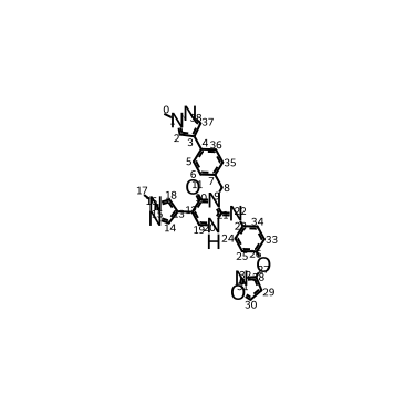 Cn1cc(-c2ccc(Cn3c(=O)c(-c4cnn(C)c4)c[nH]/c3=N\c3ccc(Oc4ccon4)cc3)cc2)cn1